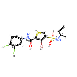 C=CC(C)NS(=O)(=O)c1csc(C(=O)Nc2ccc(F)c(F)c2)c1Br